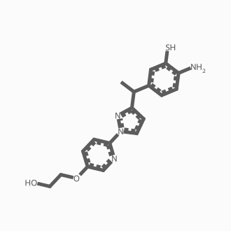 CC(c1ccc(N)c(S)c1)c1ccn(-c2ccc(OCCO)cn2)n1